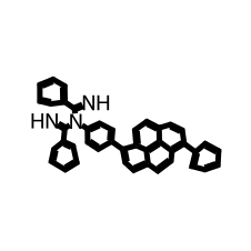 N=C(c1ccccc1)N(C(=N)c1ccccc1)c1ccc(-c2ccc3ccc4c(-c5ccccc5)ccc5ccc2c3c54)cc1